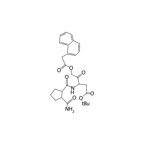 CC(C)(C)OC(=O)CC(NC(=O)C1CCCC1C(N)=O)C(=O)COC(=O)Cc1cccc2ccccc12